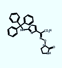 O=C(O)C(=NO[C@@H]1CCNC1=O)c1csc(NC(c2ccccc2)(c2ccccc2)c2ccccc2)n1